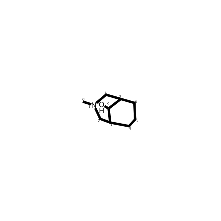 CN1CC2CCCC(C1)C2O